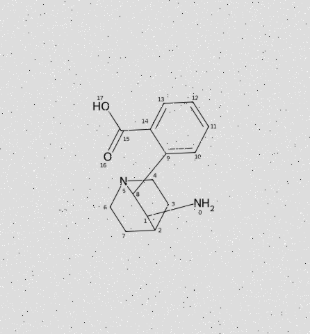 NC1C2CCN(CC2)C1c1ccccc1C(=O)O